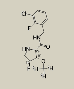 [2H]C([2H])([2H])O[C@H]1[C@@H](C(=O)NCc2cccc(Cl)c2F)NC[C@@H]1F